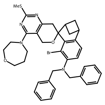 CSc1nc2c(c(N3CCCOCC3)n1)COC1(C2)c2c(ccc(N(Cc3ccccc3)Cc3ccccc3)c2Br)C2CC1C2